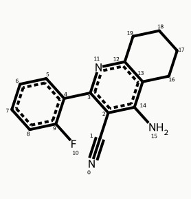 N#Cc1c(-c2ccccc2F)nc2c(c1N)CCCC2